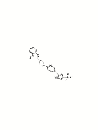 Fc1ccccc1OC[C@H]1CC[C@H](c2ccc(-c3nc(C(F)(F)F)c[nH]3)cn2)CC1